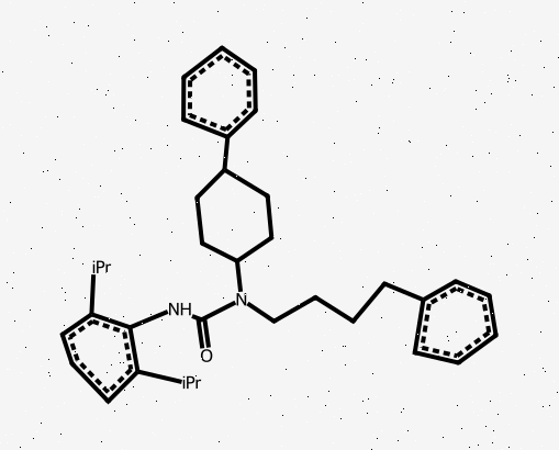 CC(C)c1cccc(C(C)C)c1NC(=O)N(CCCCc1ccccc1)C1CCC(c2ccccc2)CC1